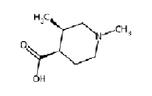 C[C@H]1CN(C)CC[C@H]1C(=O)O